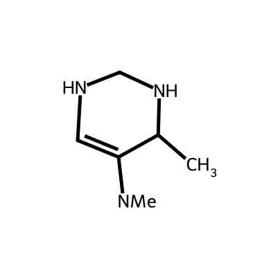 CNC1=CNCNC1C